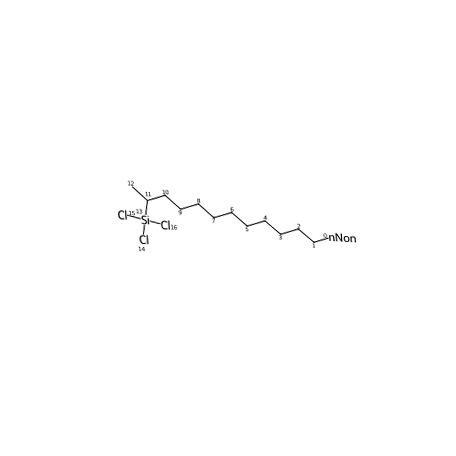 CCCCCCCCCCCCCCCCCCCC(C)[Si](Cl)(Cl)Cl